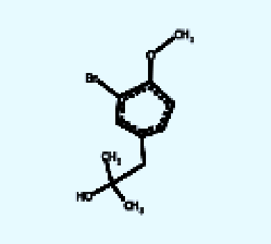 COc1ccc(CC(C)(C)O)cc1Br